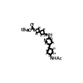 CC(=O)Nc1ccc(-c2ccc(NC3CC4(C3)CN(C(=O)OC(C)(C)C)C4)nn2)cc1